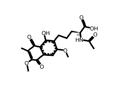 COC1=C(C)C(=O)c2c(cc(OC)c(CCC[C@H](NC(C)=O)C(=O)O)c2O)C1=O